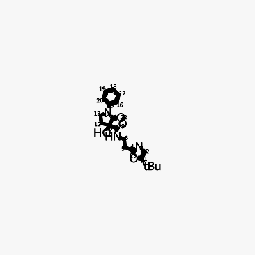 CC(C)(C)c1cnc(CCNC(=O)[C@@]2(O)CCN(c3ccccc3)C2=O)o1